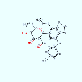 CCCc1c(C2OC(CC)C(O)C(O)C2CO)cc(Cc2ccc(C)cc2)c2c1CCC2